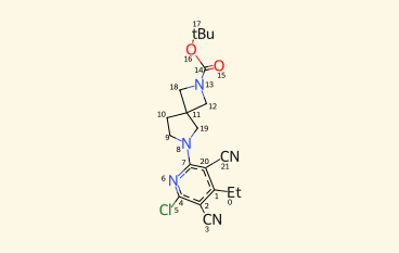 CCc1c(C#N)c(Cl)nc(N2CCC3(CN(C(=O)OC(C)(C)C)C3)C2)c1C#N